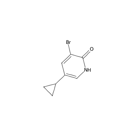 O=c1[nH]cc(C2CC2)cc1Br